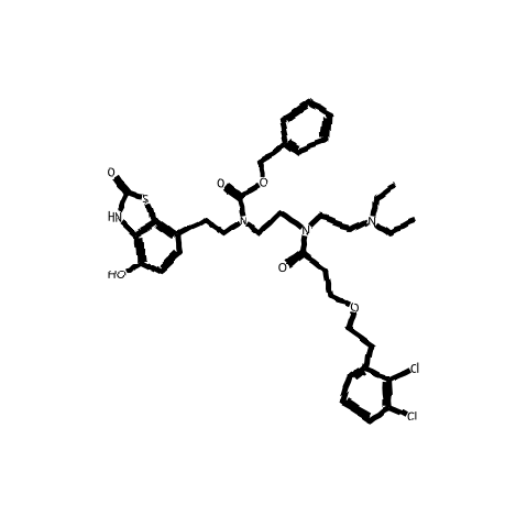 CCN(CC)CCN(CCN(CCc1ccc(O)c2[nH]c(=O)sc12)C(=O)OCc1ccccc1)C(=O)CCOCCc1cccc(Cl)c1Cl